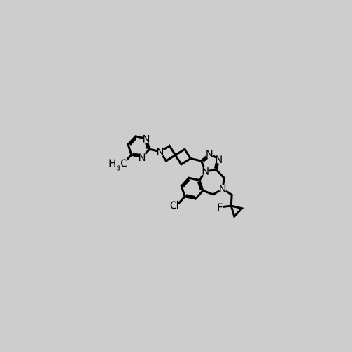 Cc1ccnc(N2CC3(CC(c4nnc5n4-c4ccc(Cl)cc4CN(CC4(F)CC4)C5)C3)C2)n1